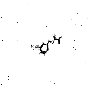 C=C(C)C(=O)OCc1cccc(N)c1